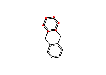 c1ccc2c(c1)C1c3ccccc3C2c2ccccc21